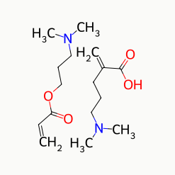 C=C(CCCN(C)C)C(=O)O.C=CC(=O)OCCCN(C)C